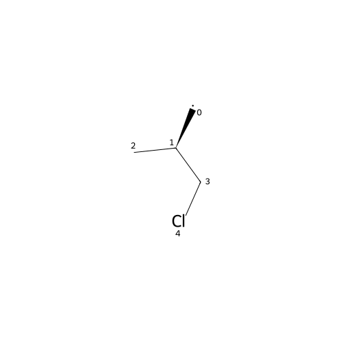 [CH2][C@H](C)CCl